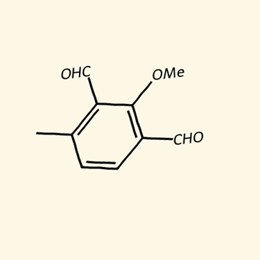 COc1c(C=O)ccc(C)c1C=O